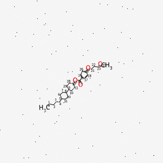 CCCCCC1CCC(C2CCC(OC(=O)c3ccc(OCCCOC)cc3)CC2)CC1